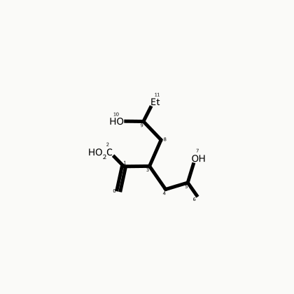 C=C(C(=O)O)C(CC(C)O)CC(O)CC